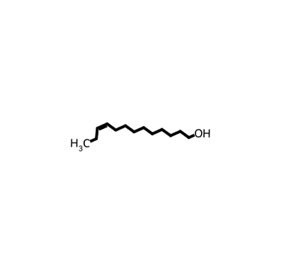 CC/C=C\CCCCCCCCCO